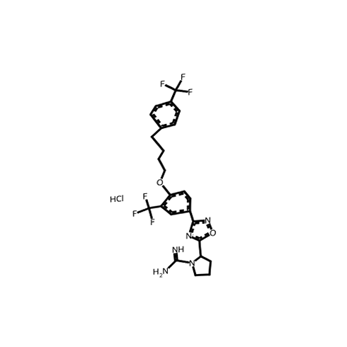 Cl.N=C(N)N1CCCC1c1nc(-c2ccc(OCCCCc3ccc(C(F)(F)F)cc3)c(C(F)(F)F)c2)no1